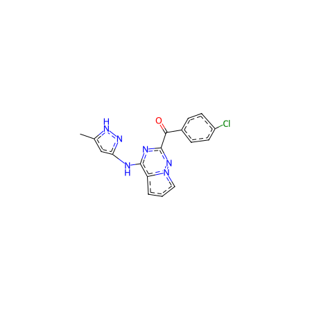 Cc1cc(Nc2nc(C(=O)c3ccc(Cl)cc3)nn3cccc23)n[nH]1